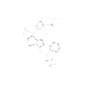 CNC(=O)c1c(C)nc(CC2CC2)n1Cc1c2ccocc-2c(Br)c1-c1ccccc1NS(=O)(=O)C(F)(F)F